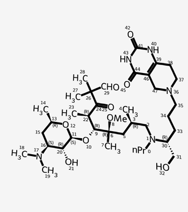 CCCN(C[C@H](C)C[C@@](C)(OC)[C@H](O[C@@H]1O[C@H](C)C[C@H](N(C)C)[C@H]1O)[C@@H](C)C(=O)C(C)(C)C=O)[C@@H](CO)CCCN1CCc2[nH]c(=O)[nH]c(=O)c2C1